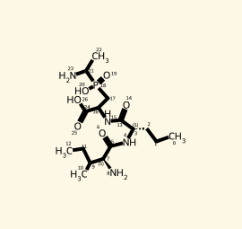 CCC[C@H](NC(=O)[C@@H](N)C(C)CC)C(=O)NC(CP(=O)(O)C(C)N)C(=O)O